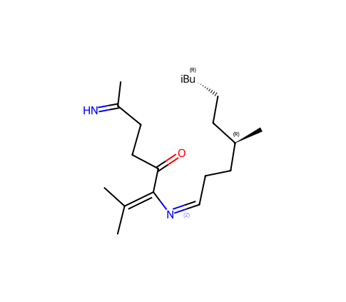 CC[C@@H](C)CC[C@@H](C)CC/C=N\C(C(=O)CCC(C)=N)=C(C)C